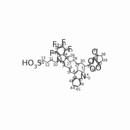 C[n+]1ccc(C=CC=C2N(CCCCS(=O)(=O)O)c3c(F)c(F)c(F)c(F)c3C2(C)CCCCCC(=O)ON2C(=O)CCC2=O)c2ccccc21